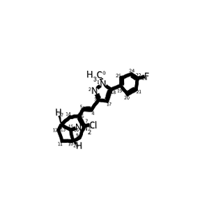 Cn1nc(/C=C/C2=C(Cl)C[C@@H]3CC[C@H](C2)C3N)cc1-c1ccc(F)cc1